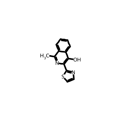 Cc1nc(-c2nccs2)c(O)c2ccccc12